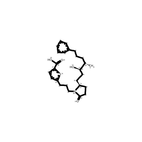 C[C@@H](CCCc1ccccc1)[C@H](O)CC[C@H]1CCC(=O)N1CCCc1ccc(C(=O)O)s1